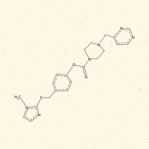 Cn1ccnc1SCc1ccc(OC(=O)N2CCN(Cc3ccncn3)CC2)cc1